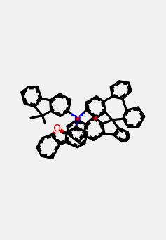 CC1(C)c2ccccc2-c2ccc(N(c3ccc4c(c3)C3(c5ccccc5-c5ccccc5-4)c4ccccc4-c4cc5ccccc5cc43)c3cccc4c3oc3ccccc34)cc21